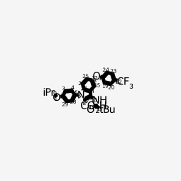 CC(C)Oc1ccc(-n2c(C(=O)O)c(NC(=O)C(C)(C)C)c3cc(Oc4ccc(C(F)(F)F)cc4)ccc32)cc1